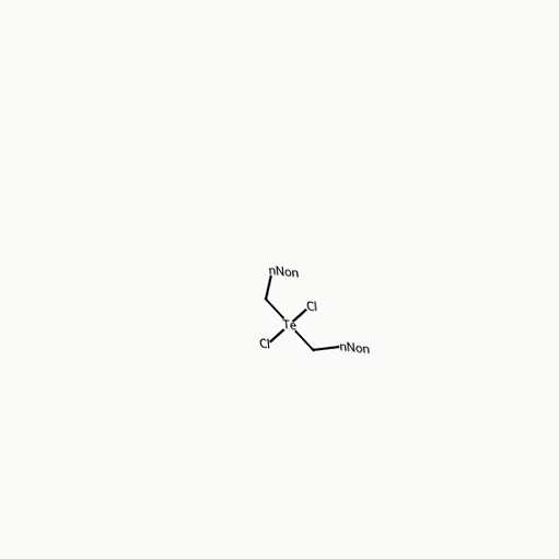 CCCCCCCCCC[Te](Cl)(Cl)CCCCCCCCCC